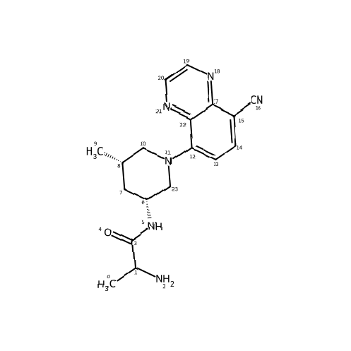 CC(N)C(=O)N[C@@H]1C[C@H](C)CN(c2ccc(C#N)c3nccnc23)C1